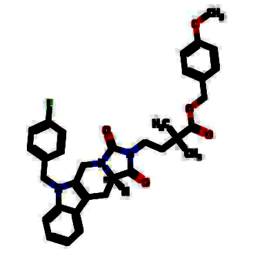 COc1ccc(COC(=O)C(C)(C)CCN2C(=O)[C@@H]3Cc4c(n(Cc5ccc(F)cc5)c5ccccc45)CN3C2=O)cc1